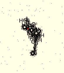 CC[C@](C)(O)C[C@@H](S)CC(C(=O)OC)(c1cc2c(cc1OC)N(C)[C@H]1[C@@](O)(C(=O)NNC(=O)OCCSSc3ccccn3)[C@H](O)[C@]3(CC)C=CCN4CC[C@]21[C@@H]43)c1[nH]c2ccccc2c1CCN